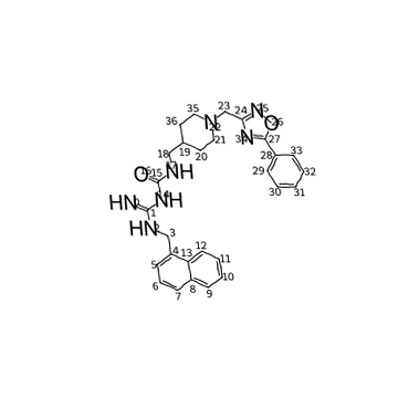 N=C(NCc1cccc2ccccc12)NC(=O)NCC1CCN(Cc2noc(-c3ccccc3)n2)CC1